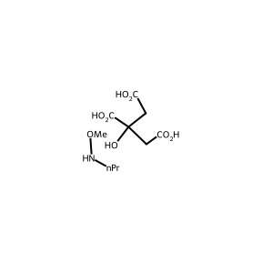 CCCNOC.O=C(O)CC(O)(CC(=O)O)C(=O)O